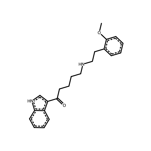 COc1ccccc1CCNCCCCC(=O)c1c[nH]c2ccccc12